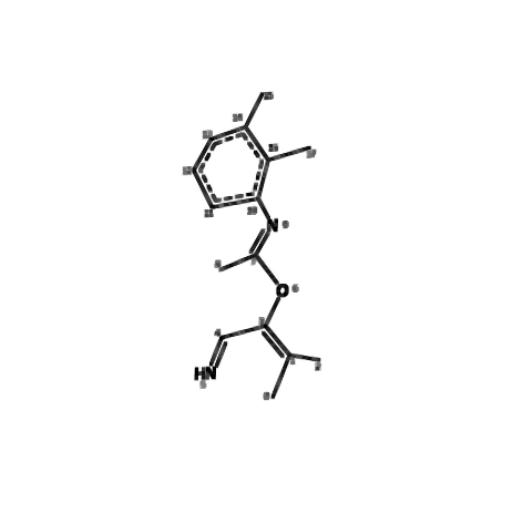 CC(C)=C(C=N)O/C(C)=N/c1cccc(C)c1C